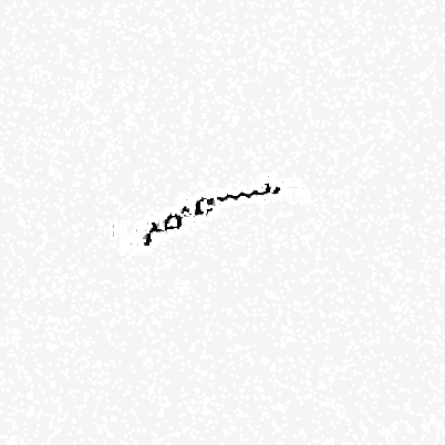 C=CC(=O)OCCCCCCOc1ccc(OC(=O)c2ccc(OC(=O)C(=C)CO)cc2)cc1